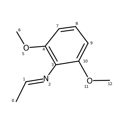 CC=Nc1c(OC)cccc1OC